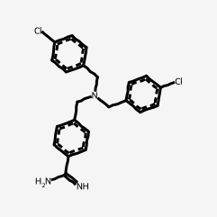 N=C(N)c1ccc(CN(Cc2ccc(Cl)cc2)Cc2ccc(Cl)cc2)cc1